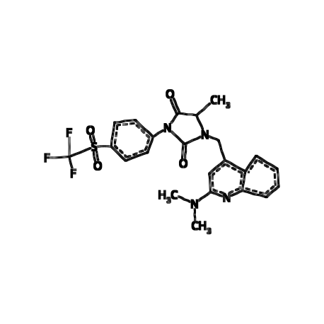 CC1C(=O)N(c2ccc(S(=O)(=O)C(F)(F)F)cc2)C(=O)N1Cc1cc(N(C)C)nc2ccccc12